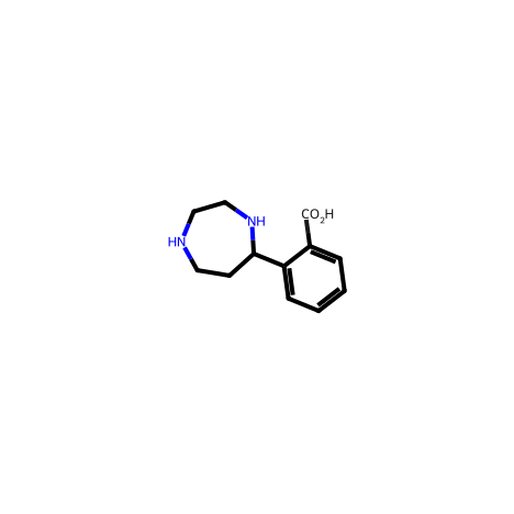 O=C(O)c1ccccc1C1CCNCCN1